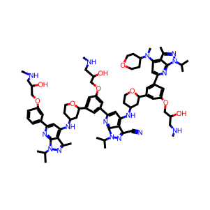 CNCC(O)COc1cccc(-c2cc(NC3CCOC(c4cc(OCC(O)CNC)cc(-c5cc(NC6CCOC(c7cc(OCC(O)CNC)cc(-c8cc(N(C)C9CCOCC9)c9c(C)nn(C(C)C)c9n8)c7)C6)c6c(C#N)nn(C(C)C)c6n5)c4)C3)c3c(C)nn(C(C)C)c3n2)c1